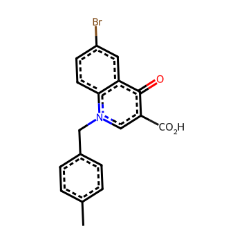 Cc1ccc(Cn2cc(C(=O)O)c(=O)c3cc(Br)ccc32)cc1